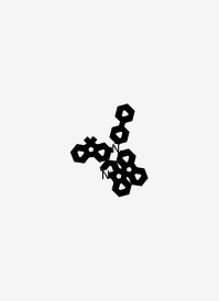 CC1(C)c2ccccc2-c2ccc(N(c3ccc(-c4ccccc4)cc3)c3ccc4c(c3)C3(c5ccccc5-4)c4ccccc4-c4ncccc43)cc21